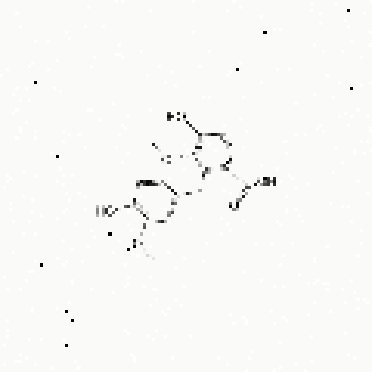 COc1cc(Cc2c(C(=O)O)ccc(O)c2OC)ccc1O